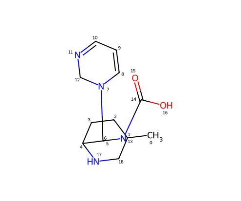 CC12CCC(CC(N3C=CC=NC3)N1C(=O)O)NC2